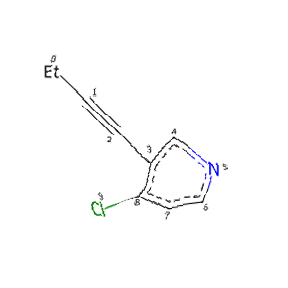 CCC#Cc1cnccc1Cl